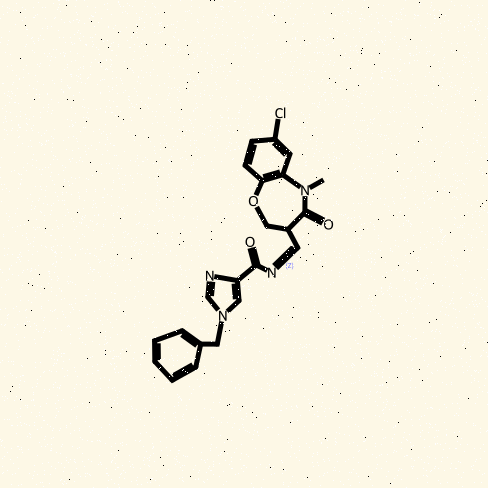 CN1C(=O)C(/C=N\C(=O)c2cn(Cc3ccccc3)cn2)COc2ccc(Cl)cc21